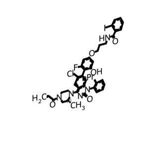 C=CC(=O)N1CCN(c2nc(=O)n(-c3ccccc3CCC)c3cc(-c4c(O)cc(OCCCNC(=O)c5ccccc5I)cc4F)c(Cl)cc23)[C@@H](C)C1